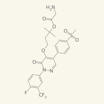 CC(C)(CCOc1c(-c2ccc(S(C)(=O)=O)cc2)cnn(-c2ccc(F)c(C(F)(F)F)c2)c1=O)OC(=O)CN